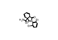 CCc1cccc(CC)c1N1C(=O)C2C=CC=CC2(C(N)=O)C1=O